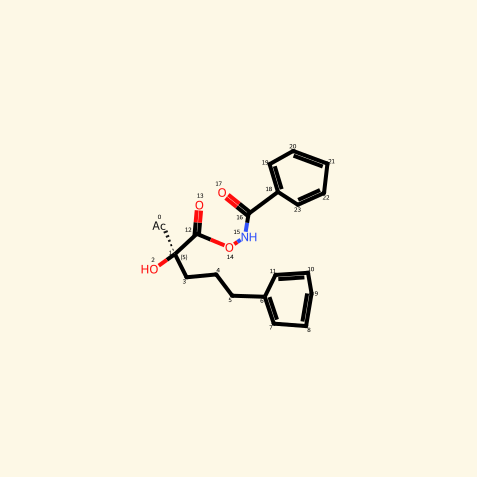 CC(=O)[C@@](O)(CCCc1ccccc1)C(=O)ONC(=O)c1ccccc1